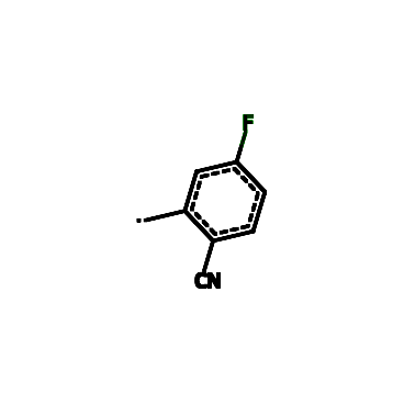 [CH2]c1cc(F)ccc1C#N